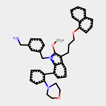 NCc1cccc(Cn2c(OC(=O)O)c(CCCOc3cccc4ccccc34)c3cccc(-c4ccccc4N4CCOCC4)c32)c1